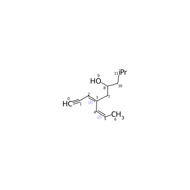 C#C/C=C(\C=C/C)CC(O)CC(C)C